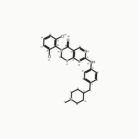 CN1CCC(Cc2ccc(Nc3ncc4c(n3)SCN(c3c(Cl)cccc3Cl)C4=O)cc2)CC1